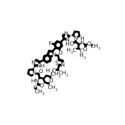 COC(=O)NC(C(=O)N1CCC[C@H]1c1ncc(-c2ccc3c(c2)cc2n3C(c3cnc(C(C)C)s3)Oc3cc(-c4cnc([C@@H]5CCCN5C(=O)[C@@H](NC(=O)OC)C(C)C)[nH]4)cc(F)c3-2)[nH]1)C1C[C@@H](C)O[C@@H](C)C1